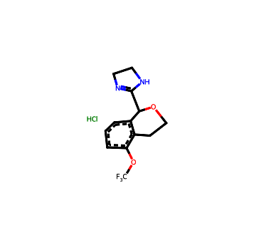 Cl.FC(F)(F)Oc1cccc2c1CCOC2C1=NCCN1